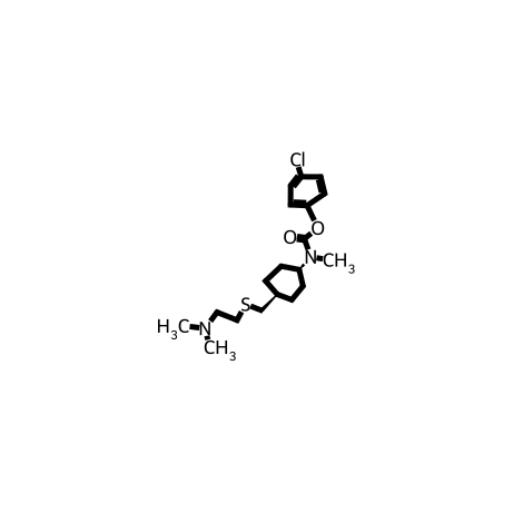 CN(C)CCSC[C@H]1CC[C@H](N(C)C(=O)Oc2ccc(Cl)cc2)CC1